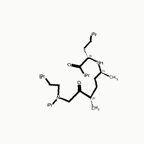 CC(C)CC[C@H](N[C@@H](C)CC[C@H](C)C(=O)CN(CCC(C)C)C(C)C)C(=O)C(C)C